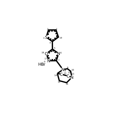 Br.c1csc(-c2nc(N3CCN4CCC3CC4)no2)c1